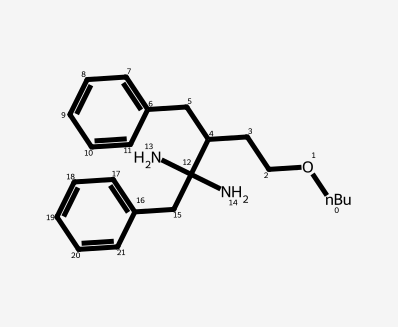 CCCCOCCC(Cc1ccccc1)C(N)(N)Cc1ccccc1